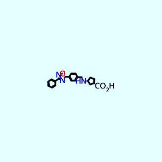 O=C(O)[C@@H]1CC[C@H](NCc2ccc(-c3nc(-c4ccccc4)no3)cc2)C1